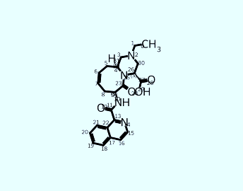 CCN1C[C@@H]2CC=CC[C@H](NC(=O)c3nccc4ccccc34)C(=O)N2[C@H](C(=O)O)C1